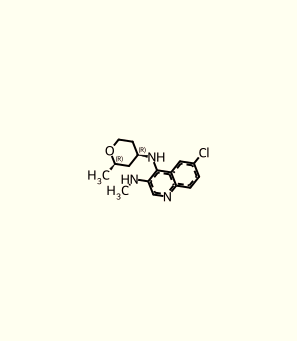 CNc1cnc2ccc(Cl)cc2c1N[C@@H]1CCO[C@H](C)C1